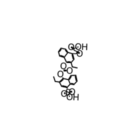 CCc1cc(S(=O)(=O)O)c2ccccc2c1OC(=O)Oc1c(CC)cc(S(=O)(=O)O)c2ccccc12